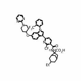 CCC1CC2CC(C1)C(NC(=O)c1ccc(-c3cn(-c4ccccc4C(F)(F)F)c4cc(OC5CCN(c6ncccn6)CC5)ccc34)nc1C(F)(F)F)(C(=O)O)C2